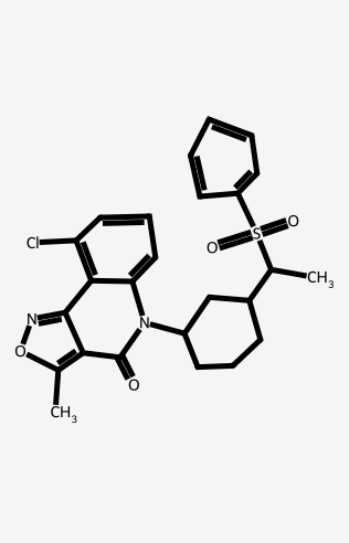 Cc1onc2c1c(=O)n(C1CCCC(C(C)S(=O)(=O)c3ccccc3)C1)c1cccc(Cl)c21